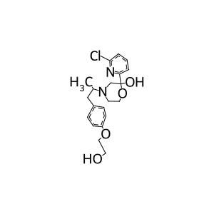 CC(Cc1ccc(OCCO)cc1)N1CCOC(O)(c2cccc(Cl)n2)C1